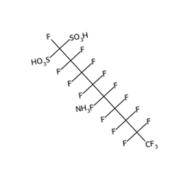 N.O=S(=O)(O)C(F)(C(F)(F)C(F)(F)C(F)(F)C(F)(F)C(F)(F)C(F)(F)C(F)(F)C(F)(F)F)S(=O)(=O)O